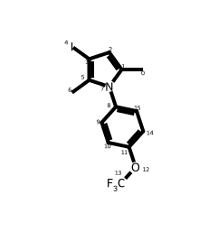 Cc1cc(I)c(C)n1-c1ccc(OC(F)(F)F)cc1